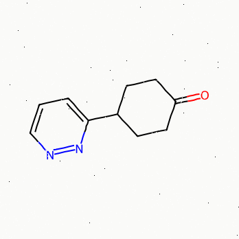 O=C1CCC(c2cccnn2)CC1